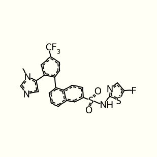 Cn1cncc1-c1cc(C(F)(F)F)ccc1-c1cccc2cc(S(=O)(=O)Nc3ncc(F)s3)ccc12